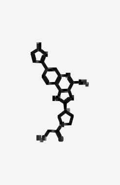 CCC(=O)N1CC[C@H](c2nc3c(N)nc4cc(-c5cc[nH]n5)ccc4c3[nH]2)C1